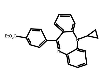 CCOC(=O)c1ccc(C2=Nc3ccccc3N(C3CC3)c3ccccc32)cc1